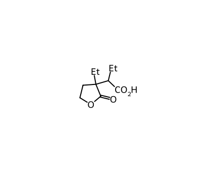 CCC(C(=O)O)C1(CC)CCOC1=O